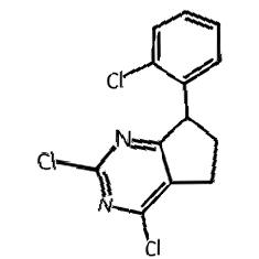 Clc1nc(Cl)c2c(n1)C(c1ccccc1Cl)CC2